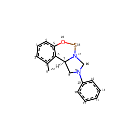 Cc1cccc2c1[C@@H]1CN(c3ccccc3)CN1SO2